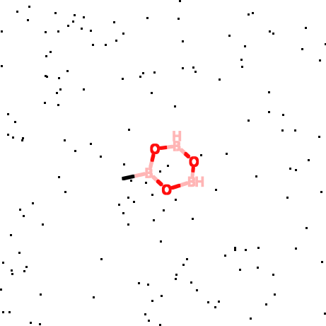 CB1OBOBO1